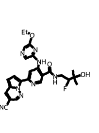 CCOc1cncc(Nc2cc(-c3ccc4cc(C#N)cnn34)ncc2C(=O)NCC(F)C(C)(C)O)n1